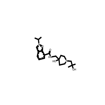 CC(C)n1cc2cccc(C(=O)NCC3(O)CCN(CC(C)(C)O)CC3)c2n1